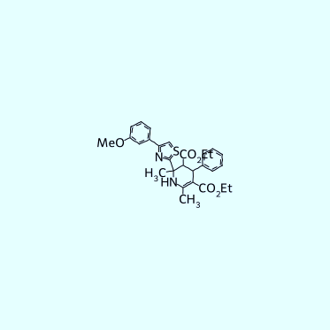 CCOC(=O)C1=C(C)NC(C)(c2nc(-c3cccc(OC)c3)cs2)C(C(=O)OCC)C1c1ccccc1